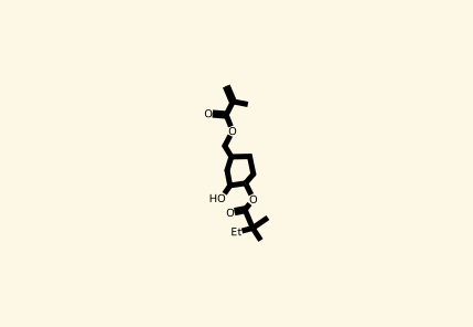 C=C(C)C(=O)OCC1CCC(OC(=O)C(C)(C)CC)C(O)C1